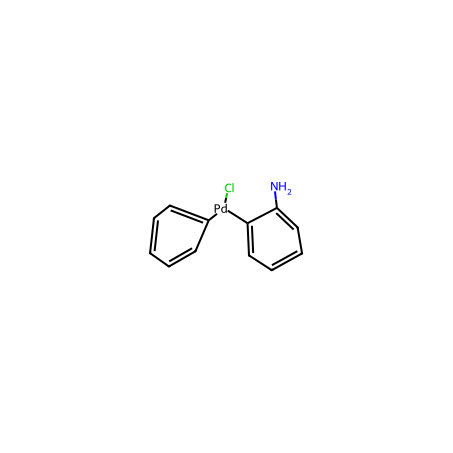 Nc1cccc[c]1[Pd]([Cl])[c]1ccccc1